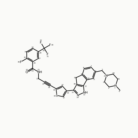 CN1CCN(Cc2ccc3c(c2)-c2[nH]nc(-c4csc(C#CCNC(=O)c5cc(C(F)(F)F)ccc5F)c4)c2C3)CC1